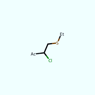 CCSCC(Cl)C(C)=O